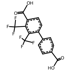 O=C(O)c1ccc(-c2ccc(C(=O)O)c(C(F)(F)F)c2C(F)(F)F)cc1